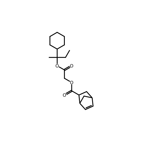 CCC(C)(OC(=O)COC(=O)C1CC2C=CC1C2)C1CCCCC1